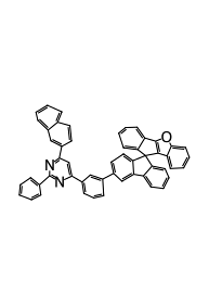 c1ccc(-c2nc(-c3cccc(-c4ccc5c(c4)-c4ccccc4C54c5ccccc5-c5oc6ccccc6c54)c3)cc(-c3ccc4ccccc4c3)n2)cc1